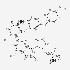 CCN1CCN(Cc2ccc(Nc3ncc(F)c(-c4cc(F)c5nc(C)n(C6CCCC6)c5c4)n3)nc2)CC1.CS(=O)(=O)O